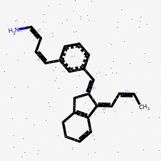 C\C=C/C=C1/C2=C(CCC=C2)C/C1=C\c1cccc(/C=C\C=C/N)c1